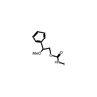 COC(COC(=O)NI)c1ccccc1